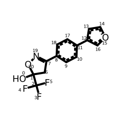 OC1(C(F)(F)F)CC(c2ccc(-c3ccoc3)cc2)=NO1